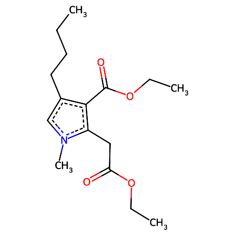 CCCCc1cn(C)c(CC(=O)OCC)c1C(=O)OCC